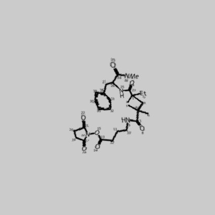 CCC(C)(CC(C)(C)C(=O)NCCCC(=O)ON1C(=O)CCC1=O)C(=O)NC(Cc1ccccc1)C(=O)NC